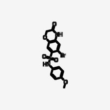 COc1ccc(NS(=O)(=O)c2cc3c(cc2Br)NC(=O)CO3)cc1